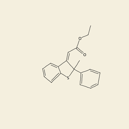 CCOC(=O)/C=C1/c2ccccc2SC1(C)c1ccccc1